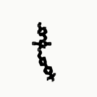 COc1ncc(Cn2cc(Cl)c(OCCc3ccc(-c4ccc(C(F)(F)F)cc4)cc3)nc2=O)cn1